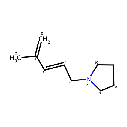 C=C(C)/C=C/CN1CCCC1